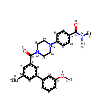 CCOc1cccc(-c2cc(C(=O)N3CCN(c4ccc(C(=O)N(CC)CC)cc4)CC3)cc(C(C)(C)C)c2)c1